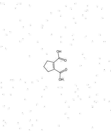 O=C(O)C1=C(C(=O)O)CCC1